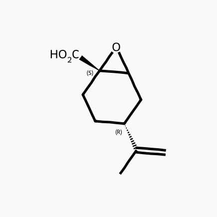 C=C(C)[C@@H]1CC[C@]2(C(=O)O)OC2C1